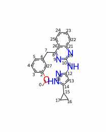 COc1cccc(Cc2nc(Nc3cc(C4CC4)[nH]n3)nc3ccccc23)c1